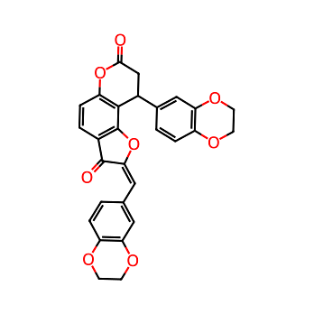 O=C1CC(c2ccc3c(c2)OCCO3)c2c(ccc3c2OC(=Cc2ccc4c(c2)OCCO4)C3=O)O1